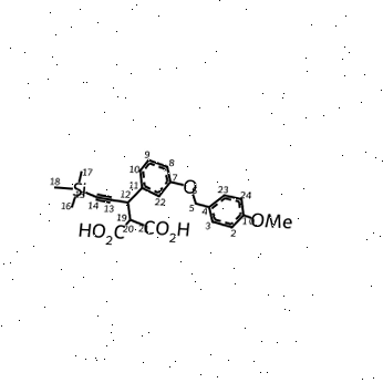 COc1ccc(COc2cccc(C(C#C[Si](C)(C)C)C(C(=O)O)C(=O)O)c2)cc1